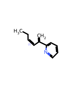 C=C(/C=C\CC)c1ccccn1